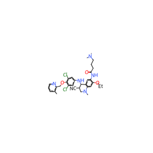 CCOc1cc2c(cc1NC(=O)CCCN(C)C)C(Nc1cc(Cl)c(OCc3ncccc3C)c(Cl)c1)C(C#N)CN2C